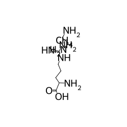 C.N=C(N)NCCCC(N)C(=O)O.NCCN